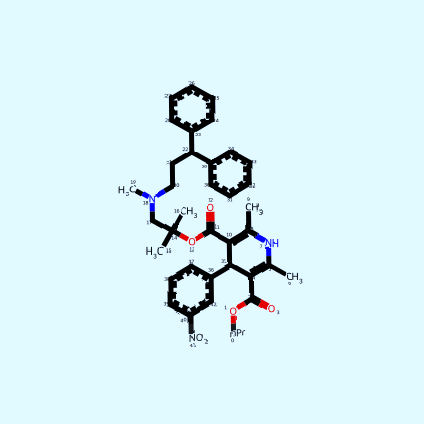 CCCOC(=O)C1=C(C)NC(C)=C(C(=O)OC(C)(C)CN(C)CCC(c2ccccc2)c2ccccc2)C1c1cccc([N+](=O)[O-])c1